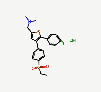 CCS(=O)(=O)c1ccc(-c2cc(CN(C)C)sc2-c2ccc(F)cc2)cc1.Cl